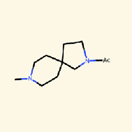 CC(=O)N1CCC2(CCN(C)CC2)C1